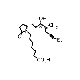 CCC#CC[C@@H](C)[C@H](O)CC[C@H]1CCC(=O)N1CCCCCCC(=O)O